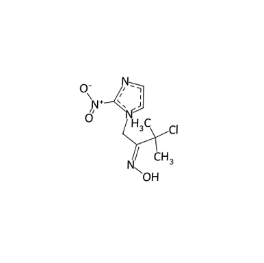 CC(C)(Cl)/C(Cn1ccnc1[N+](=O)[O-])=N\O